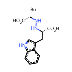 CC[C@H](C)[C@H](NN[C@@H](Cc1c[nH]c2ccccc12)C(=O)O)C(=O)O